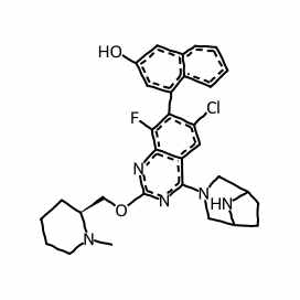 CN1CCCC[C@H]1COc1nc(N2CC3CCC(C2)N3)c2cc(Cl)c(-c3cc(O)cc4ccccc34)c(F)c2n1